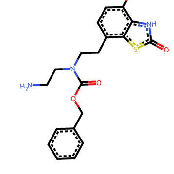 NCCN(CCc1ccc(O)c2[nH]c(=O)sc12)C(=O)OCc1ccccc1